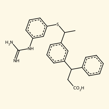 CC(Sc1cccc(NC(=N)N)c1)c1cccc(C(CC(=O)O)c2ccccc2)c1